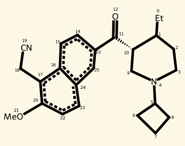 CCC1CCN(C2CCC2)C[C@@H]1C(=O)c1ccc2c(CC#N)c(OC)ccc2c1